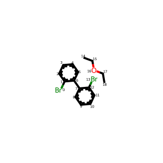 Brc1ccccc1-c1ccccc1Br.CCOCC